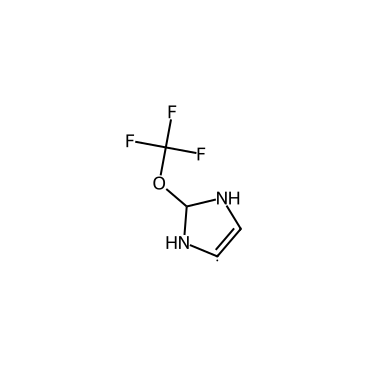 FC(F)(F)OC1N[C]=CN1